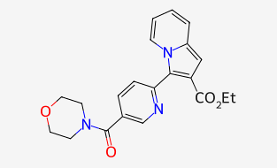 CCOC(=O)c1cc2ccccn2c1-c1ccc(C(=O)N2CCOCC2)cn1